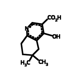 CC1(C)CCc2ncc(C(=O)O)c(O)c2C1